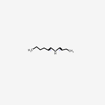 CC/C=C/N/C=C/CCCC